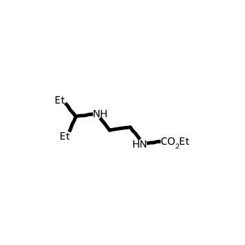 CCOC(=O)NCCNC(CC)CC